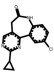 O=C1Cc2cnc(C3CC3)nc2-c2cc(Cl)ccc2N1